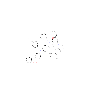 Cc1cc2c3c(c1)N1c4c(cc5c(c4B3c3ccc(N(c4ccc(C(C)(C)C)cc4)c4ccc6oc7ccccc7c6c4)cc3N2c2ccc(C(C)(C)C)cc2-c2ccccc2)C(C)(C)CCC5(C)C)C2(C)CCCCC12C